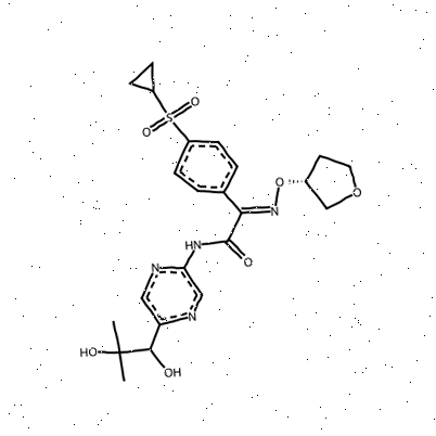 CC(C)(O)C(O)c1cnc(NC(=O)/C(=N/O[C@@H]2CCOC2)c2ccc(S(=O)(=O)C3CC3)cc2)cn1